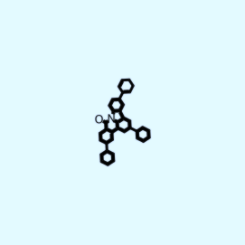 O=c1c2ccc(-c3ccccc3)cc2c2cc(-c3ccccc3)cc3c4cc(C5=CCCC=C5)ccc4n1c23